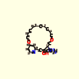 NC1COCCCCCCCCCCOc2ccnc(c2)CC1(O)C(=O)O